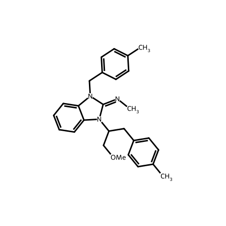 CN=c1n(Cc2ccc(C)cc2)c2ccccc2n1C(COC)Cc1ccc(C)cc1